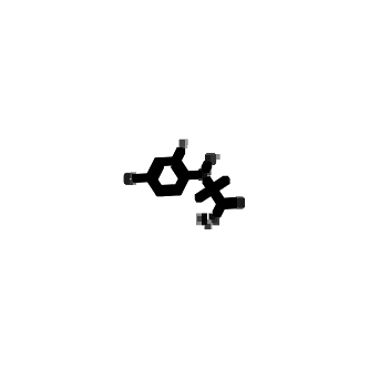 CC(C)(C(N)=O)[S+]([O-])c1ccc(Cl)cc1F